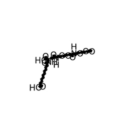 O=[C]COCCOCCNC(=O)COCCOCCNC(=O)CC[C@H](NC(=O)CCCCCCCCCCC(=O)O)C(=O)O